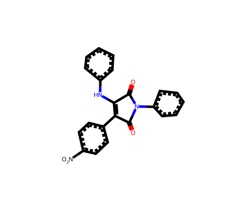 O=C1C(Nc2ccccc2)=C(c2ccc([N+](=O)[O-])cc2)C(=O)N1c1ccccc1